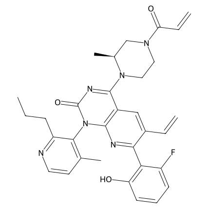 C=CC(=O)N1CCN(c2nc(=O)n(-c3c(C)ccnc3CCC)c3nc(-c4c(O)cccc4F)c(C=C)cc23)[C@@H](C)C1